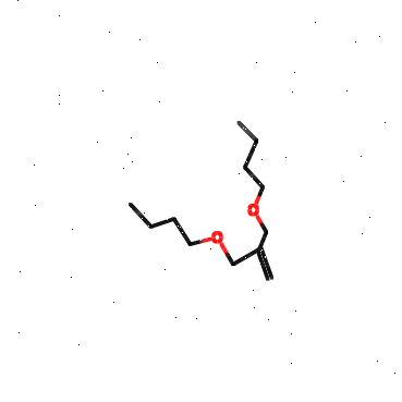 C=C(COCCCC)COCCCC